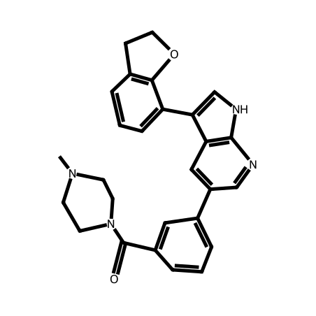 CN1CCN(C(=O)c2cccc(-c3cnc4[nH]cc(-c5cccc6c5OCC6)c4c3)c2)CC1